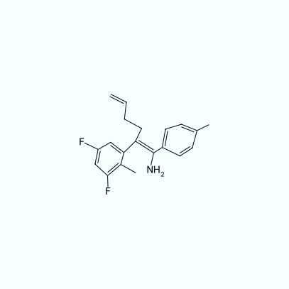 C=CCC/C(=C(/N)c1ccc(C)cc1)c1cc(F)cc(F)c1C